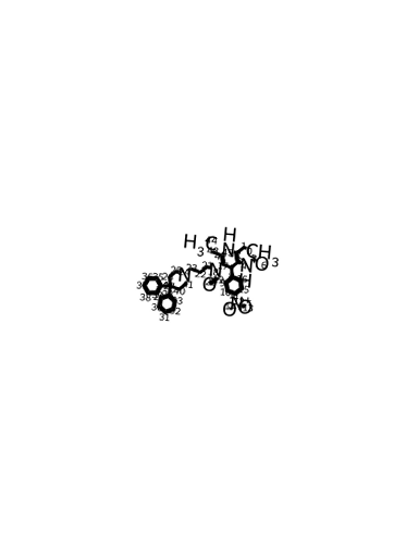 CCC1=C(NC=O)C(c2ccc([N+](=O)[O-])cc2)C(N(C=O)CCCN2CCC(c3ccccc3)(c3ccccc3)CC2)=C(CC)N1